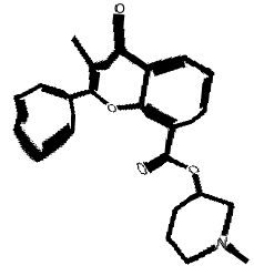 Cc1c(-c2ccccc2)oc2c(C(=O)OC3CCCN(C)C3)cccc2c1=O